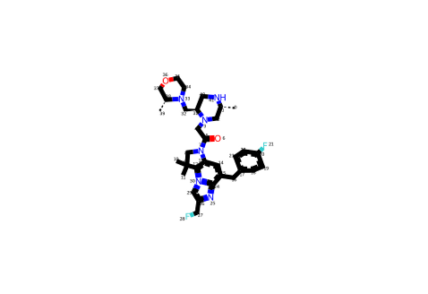 C[C@@H]1CN(CC(=O)N2CC(C)(C)c3c2cc(Cc2ccc(F)cc2)c2nc(CF)cn32)[C@@H](CN2CCOC[C@H]2C)CN1